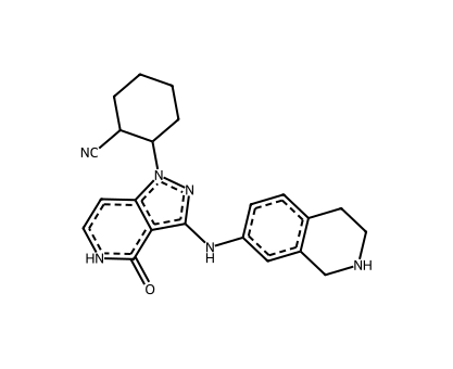 N#CC1CCCCC1n1nc(Nc2ccc3c(c2)CNCC3)c2c(=O)[nH]ccc21